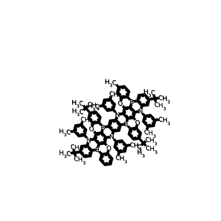 Cc1cc(C)cc(N2c3cc(C(C)(C)C)ccc3B3c4ccccc4Oc4c3c2c2c3c4N(c4cc(C)cc(C)c4)c4cc5c(cc4B3c3ccc(C(C)(C)C)cc3O2)N(c2cc(C)cc(C)c2)c2c3c4c(c6c2B5c2ccc(C(C)(C)C)cc2O6)N(c2cc(C)cc(C)c2)c2cc(C(C)(C)C)ccc2B4c2ccc(C)cc2O3)c1